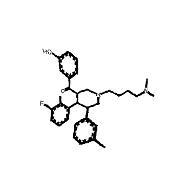 Cc1[c]ccc(C2CN(CCCCN(C)C)CC(C(=O)c3cccc(O)c3)C2c2cccc(F)c2C)c1